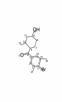 Cc1cc(C(=O)C2CCC(O)CC2C)cc(C)c1Br